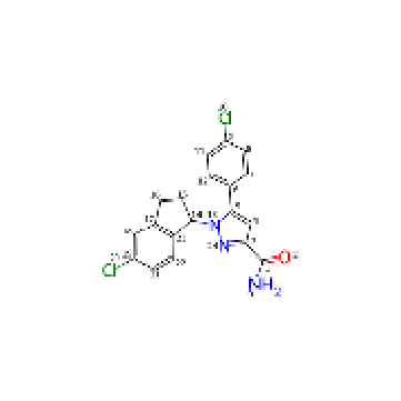 NC(=O)c1cc(-c2ccc(Cl)cc2)n(C2CCc3cc(Cl)ccc32)n1